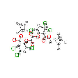 CC1C(C)C(COC(=O)c2c(Cl)c(Cl)cc(Cl)c2OC(=O)C(=O)Oc2c(Cl)cc(Cl)c(Cl)c2C(=O)OCC2C(C)C(C)C2C)C1C